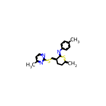 C=C1CCC(=C\Sc2nccc(C)n2)/C(=N/c2ccc(C)cc2)S1